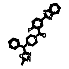 Cc1nnc(C(c2ccccc2)N2CCN(C(=O)c3cc(-c4nc5ccccc5s4)ccc3F)CC2)o1